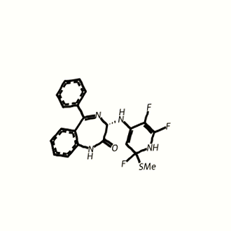 CSC1(F)C=C(N[C@H]2N=C(c3ccccc3)c3ccccc3NC2=O)C(F)=C(F)N1